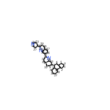 c1ccc2c(c1)cc(-c1ccc3ccc(-c4ccc5ccc(-c6ccncc6)nc5c4)nc3c1)c1ccccc12